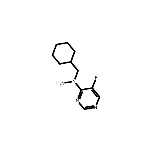 NN(CC1CCCCC1)c1ncncc1Br